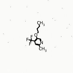 CCCCOc1cnc(C)cc1C(F)(F)F